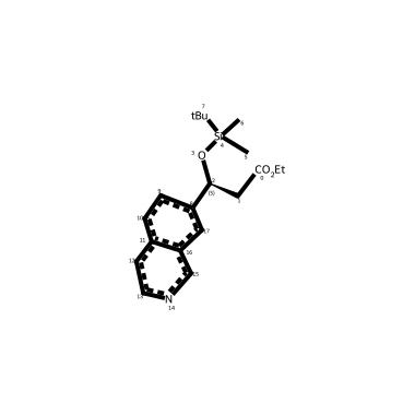 CCOC(=O)C[C@H](O[Si](C)(C)C(C)(C)C)c1ccc2ccncc2c1